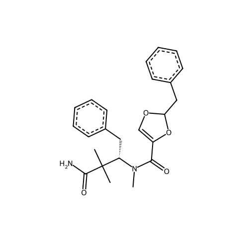 CN(C(=O)C1=COC(Cc2ccccc2)O1)[C@@H](Cc1ccccc1)C(C)(C)C(N)=O